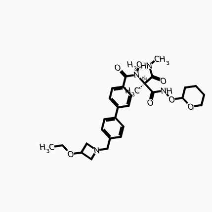 CCOC1CN(Cc2ccc(-c3ccc(C(=O)N(C)[C@@](C)(C(=O)NC)C(=O)NOC4CCCCO4)cc3)cc2)C1